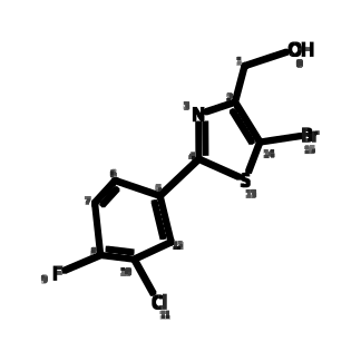 OCc1nc(-c2ccc(F)c(Cl)c2)sc1Br